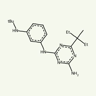 CCC(C)(CC)c1nc(N)nc(Nc2cccc(NC(C)(C)C)c2)n1